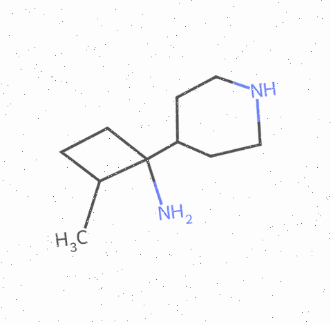 CC1CCC1(N)C1CCNCC1